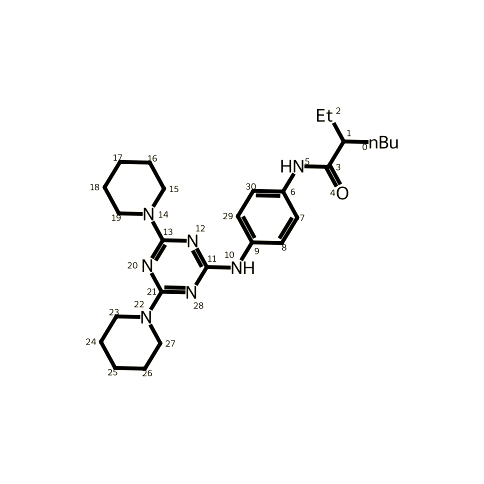 CCCCC(CC)C(=O)Nc1ccc(Nc2nc(N3CCCCC3)nc(N3CCCCC3)n2)cc1